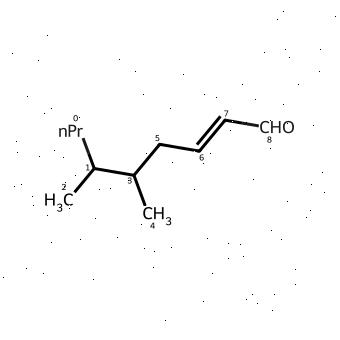 CCCC(C)C(C)CC=CC=O